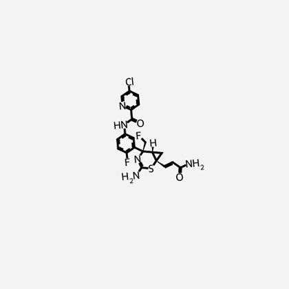 NC(=O)C=C[C@]12C[C@H]1[C@@](CF)(c1cc(NC(=O)c3ccc(Cl)cn3)ccc1F)N=C(N)S2